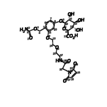 NC(=O)OCc1ccc(O[C@@H]2O[C@H](C(=O)O)[C@@H](O)[C@H](O)[C@H]2O)cc1OCCOCCNC(=O)CN1C(=O)C=CC1=O